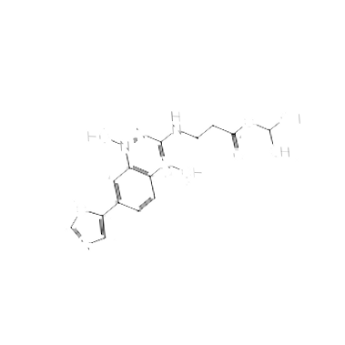 CC(C)OC(=O)CCNc1n[n+](O)c2cc(-c3cnco3)ccc2[n+]1O